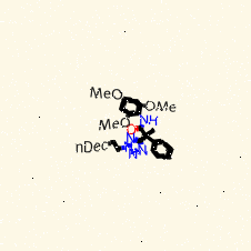 CCCCCCCCCCCCn1nnc(C(C)(C(=O)Nc2c(OC)cc(OC)cc2OC)c2ccccc2)n1